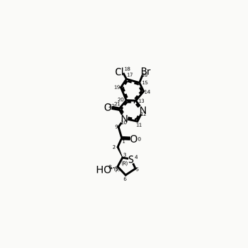 O=C(C[C@H]1SCC[C@@H]1O)Cn1cnc2cc(Br)c(Cl)cc2c1=O